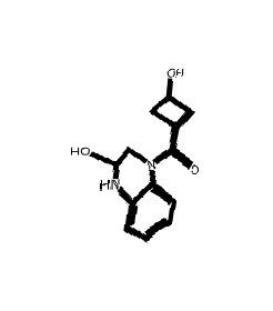 O=C(C1CC(O)C1)N1CC(O)Nc2ccccc21